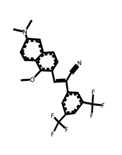 COc1c(/C=C(\C#N)c2cc(C(F)(F)F)cc(C(F)(F)F)c2)ccc2cc(N(C)C)ccc12